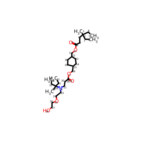 CCC(C)(CC)CCC(=O)OCC1CCC(COC(=O)CCN(CCOCCO)C(C)(CC)CC)CC1